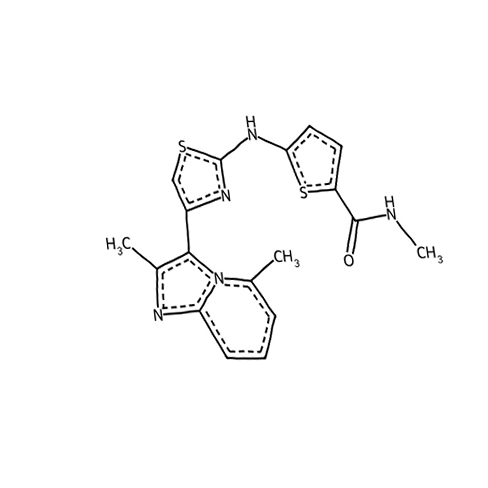 CNC(=O)c1ccc(Nc2nc(-c3c(C)nc4cccc(C)n34)cs2)s1